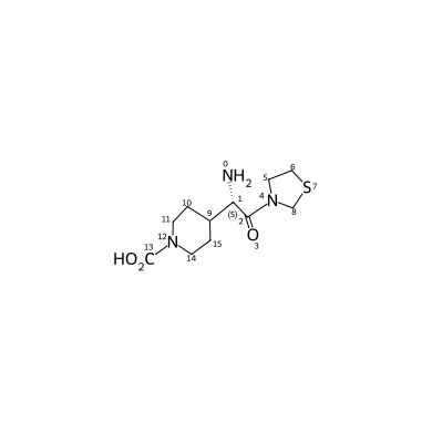 N[C@H](C(=O)N1CCSC1)C1CCN(C(=O)O)CC1